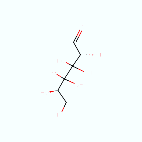 O=C[C@H](O)C(O)(O)C(O)(O)[C@H](O)CO